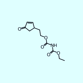 CCOC(=O)NC(=O)OCCC1C=CC(=O)C1